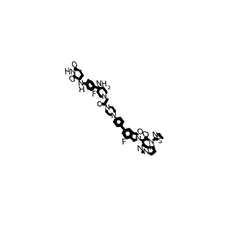 NC1(c2ccc(NC3CCC(=O)NC3=O)cc2F)CCN(CC(=O)N2CCN(c3ccc(-c4cc(F)c5c(c4)C(=O)N(C(C(=O)Nc4nccs4)c4ncn6c4CCC6)C5)cc3)CC2)CC1